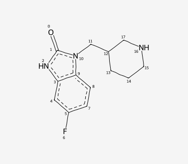 O=c1[nH]c2cc(F)ccc2n1CC1CCCNC1